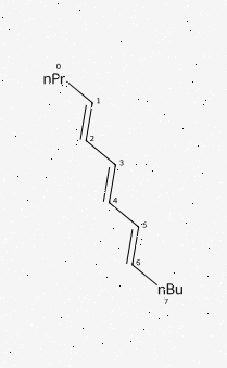 [CH2]CCC=CC=CC=CCCCC